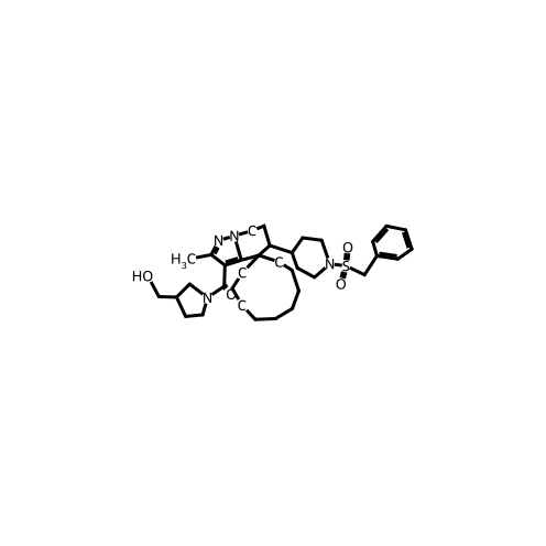 Cc1nn2c(c1C(=O)N1CCC(CO)C1)C1(CCCCCCCCC1)C(C1CCN(S(=O)(=O)Cc3ccccc3)CC1)CC2